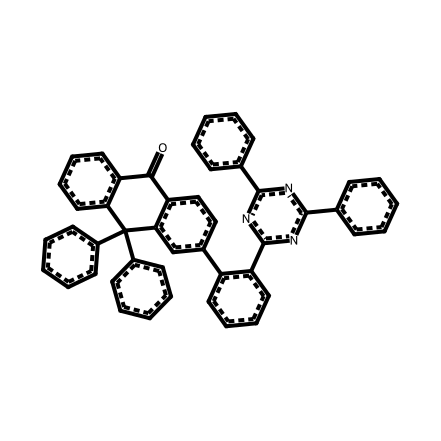 O=C1c2ccccc2C(c2ccccc2)(c2ccccc2)c2cc(-c3ccccc3-c3nc(-c4ccccc4)nc(-c4ccccc4)n3)ccc21